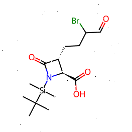 CC(C)(C)[Si](C)(C)N1C(=O)[C@H](CCC(Br)C=O)[C@H]1C(=O)O